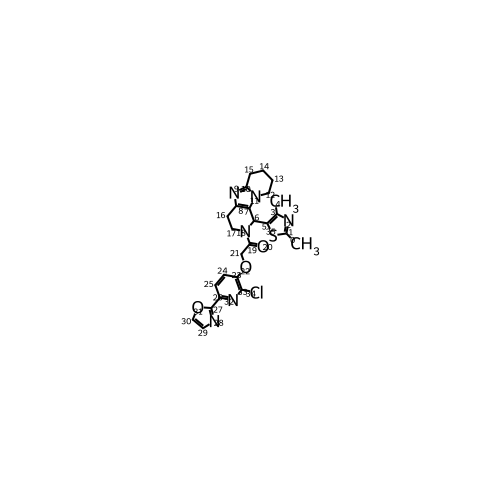 Cc1nc(C)c(C2c3c(nc4n3CCCC4)CCN2C(=O)COc2ccc(-c3ncco3)nc2Cl)s1